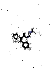 C=C(/C=C\N=C(\C)N)C1=C(c2ccc(F)cc2)NC2OC=CN12